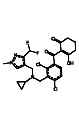 Cn1cc(CN(Cc2c(Cl)ccc(C(=O)C3=C(O)CCCC3=O)c2Cl)C2CC2)c(C(F)F)n1